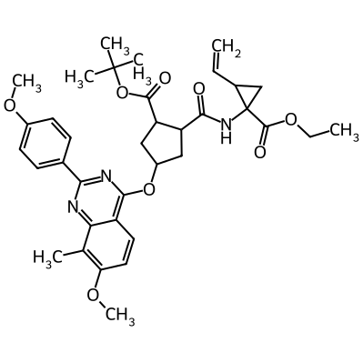 C=CC1CC1(NC(=O)C1CC(Oc2nc(-c3ccc(OC)cc3)nc3c(C)c(OC)ccc23)CC1C(=O)OC(C)(C)C)C(=O)OCC